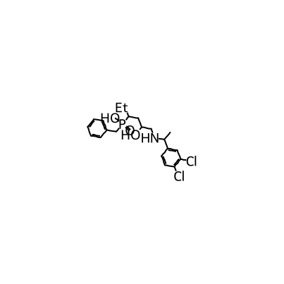 CCC(CC(O)CNC(C)c1ccc(Cl)c(Cl)c1)P(=O)(O)Cc1ccccc1